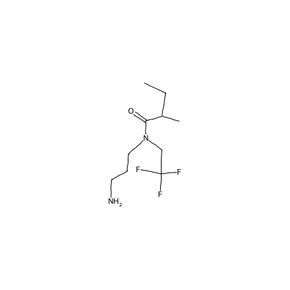 CCC(C)C(=O)N(CCCN)CC(F)(F)F